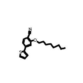 CCCCCCCCOc1cc(-c2cccs2)ccc1C#N